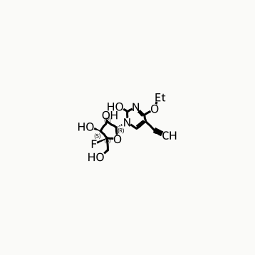 C#CC1=CN([C@@H]2O[C@](F)(CO)[C@@H](O)[C@H]2O)C(O)N=C1OCC